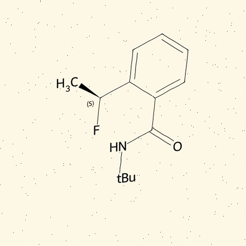 C[C@H](F)c1ccccc1C(=O)NC(C)(C)C